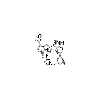 FC1(F)CCN(Cc2cncc(-c3ccc4[nH]nc(-c5cc6c(-c7ccoc7)ccnc6[nH]5)c4n3)c2)C1